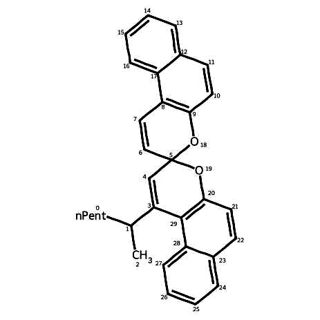 CCCCCC(C)C1=CC2(C=Cc3c(ccc4ccccc34)O2)Oc2ccc3ccccc3c21